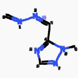 C=N/N=C\c1ncnn1C